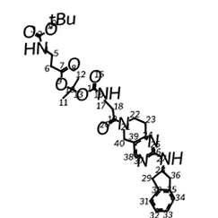 CC(C)(C)OC(=O)NCCC(=O)OC(C)(C)OC(=O)NCCC(=O)N1CCc2nc(NC3Cc4ccccc4C3)ncc2C1